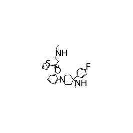 CCNCC[C@@H](Oc1ccccc1N1CCC(NC)(c2ccc(F)cc2)CC1)c1cccs1